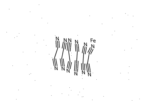 N#CC#N.N#CC#N.N#CC#N.N#CC#N.N#CC#N.N#CC#N.[Fe]